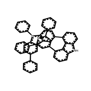 c1ccc(-c2ccc3c(c2)c2cc(-c4cccc5[nH]c6cccc(-c7cc(-c8ccccc8)nc(-c8ccccc8)n7)c6c45)ccc2n3-c2ccccc2)cc1